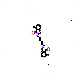 Cc1cccc2sn(CCCCCCn3sc4cccc(C)c4c3=O)c(=O)c12